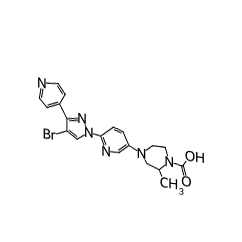 CC1CN(c2ccc(-n3cc(Br)c(-c4ccncc4)n3)nc2)CCN1C(=O)O